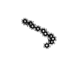 c1ccc(-c2ccc3ccc4ccc(-c5ccc6cc(-c7ccc(-c8ccc9nc(-c%10ccccn%10)ccc9c8)cc7)ccc6c5)nc4c3n2)cc1